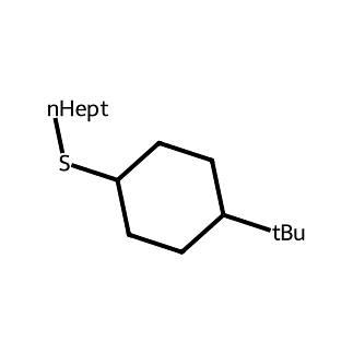 CCCCCCCSC1CCC(C(C)(C)C)CC1